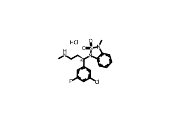 CNCC[C@H](c1cc(F)cc(Cl)c1)N1c2ccccc2N(C)S1(=O)=O.Cl